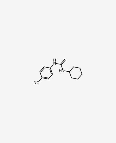 C=C(Nc1ccc(C#N)cc1)NC1CCCCC1